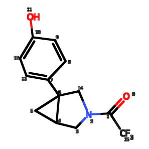 O=C(N1CC2CC2(c2ccc(O)cc2)C1)C(F)(F)F